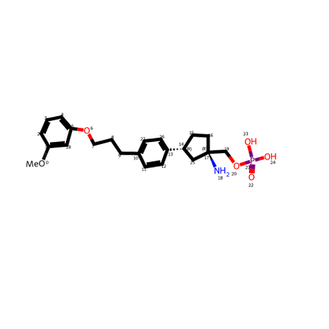 COc1cccc(OCCCc2ccc([C@@H]3CC[C@](N)(COP(=O)(O)O)C3)cc2)c1